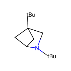 CC(C)(C)N1CC2(C(C)(C)C)CC1C2